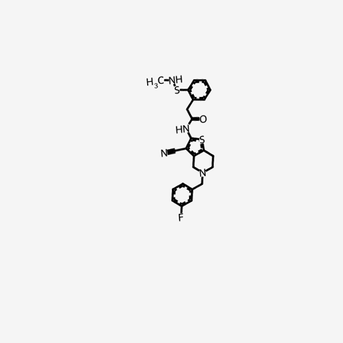 CNSc1ccccc1CC(=O)Nc1sc2c(c1C#N)CN(Cc1cccc(F)c1)CC2